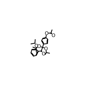 CC(=O)Oc1ccc(C(OC(C)C)(OC(C)C)C(=O)c2ccccc2OC(C)C)cc1